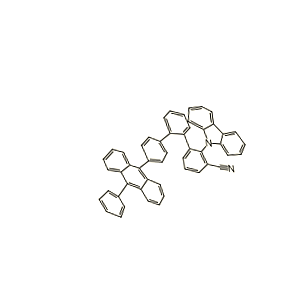 N#Cc1cccc(-c2ccccc2-c2ccc(-c3c4ccccc4c(-c4ccccc4)c4ccccc34)cc2)c1-n1c2ccccc2c2ccccc21